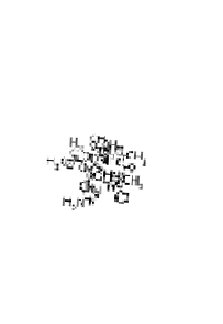 CO[C@H](C)C(=O)O[C@H]1[C@H](c2ccc3c(N)ncnn23)O[C@](C#N)(COP(=O)(N[C@@H](C)C(=O)OC(C)C)Oc2ccccc2)[C@H]1OC(=O)[C@@H](C)OC